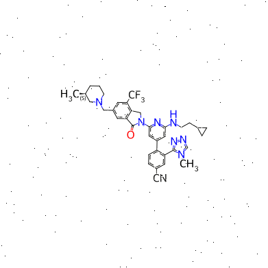 C[C@H]1CCCN(Cc2cc3c(c(C(F)(F)F)c2)CN(c2cc(-c4ccc(C#N)cc4-c4nncn4C)cc(NCCC4CC4)n2)C3=O)C1